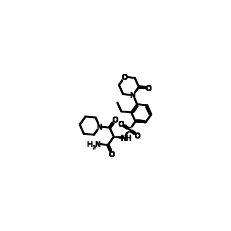 CCc1c(N2CCOCC2=O)cccc1S(=O)(=O)N[C@@H](C(N)=O)C(=O)N1CCCCC1